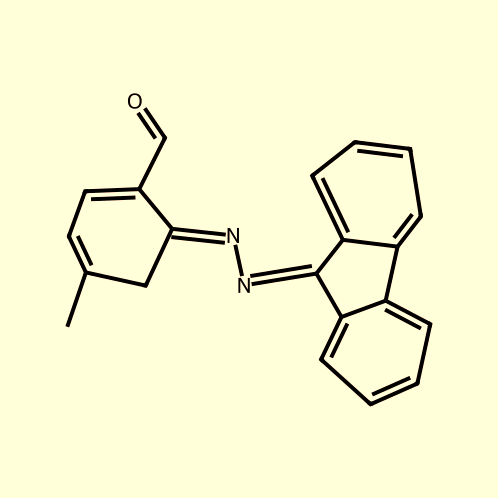 CC1=CC=C(C=O)C(=NN=C2c3ccccc3-c3ccccc32)C1